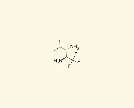 CC(C)[C@H](N)[C@H](N)C(F)(F)F